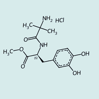 COC(=O)[C@H](Cc1ccc(O)c(O)c1)NC(=O)C(C)(C)N.Cl